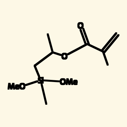 C=C(C)C(=O)OC(C)C[Si](C)(OC)OC